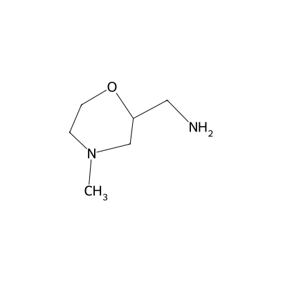 CN1CCOC(CN)C1